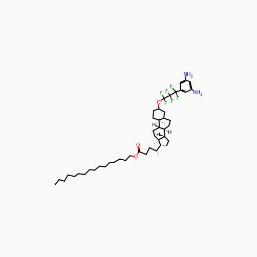 CCCCCCCCCCCCCCCCOC(=O)CC[C@@H](C)[C@H]1CC[C@H]2[C@@H]3CCC4CC(OC(F)(F)C(F)(F)C(F)(F)c5cc(N)cc(N)c5)CC[C@]4(C)[C@H]3CC[C@]12C